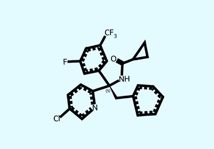 O=C(N[C@@](Cc1ccccc1)(c1cc(F)cc(C(F)(F)F)c1)c1ccc(Cl)cn1)C1CC1